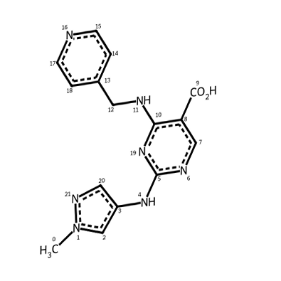 Cn1cc(Nc2ncc(C(=O)O)c(NCc3ccncc3)n2)cn1